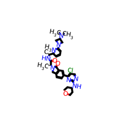 C[C@H](C(=O)N[C@H](C)c1cccc(N2CC(N(C)C)C2)n1)N1Cc2ccc(-c3nc(NC4CCOCC4)ncc3Cl)cc2C1=O